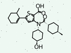 CC1CCCC=C1c1cc(N(C(=O)[C@H]2CC[C@H](C)CC2)[C@H]2CC[C@H](O)CC2)c(C(=O)O)s1